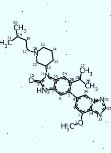 COc1cc(-c2cc3[nH]c(=O)n(C4CCCN(CCC(C)C)C4)c3cc2C(C)C)cn2ncnc12